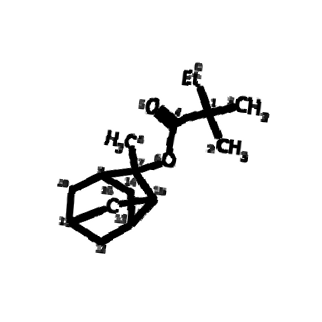 CCC(C)(C)C(=O)OC1(C)C2CC3CC(C2)C1C3